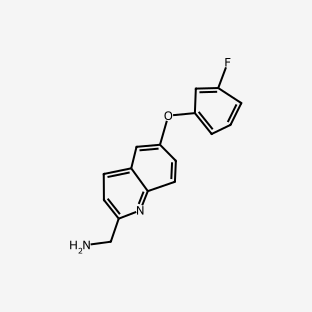 NCc1ccc2cc(Oc3cccc(F)c3)ccc2n1